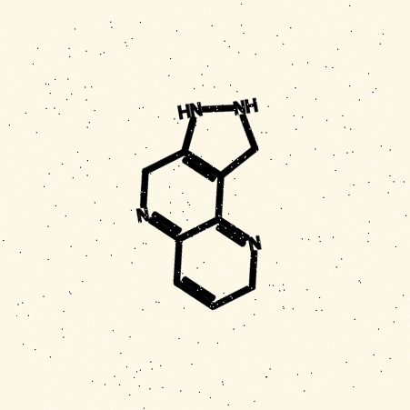 C1=CC2=NCC3=C(CNN3)C2=NC1